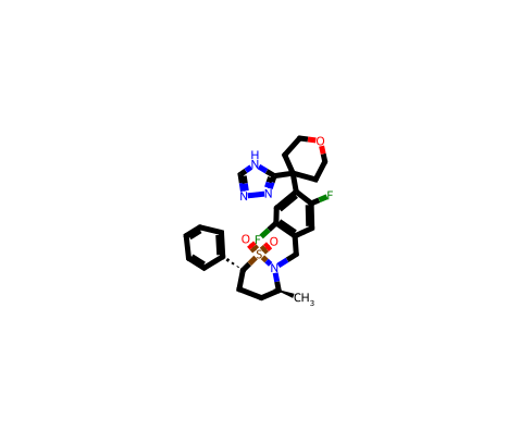 C[C@H]1CC[C@H](c2ccccc2)S(=O)(=O)N1Cc1cc(F)c(C2(c3nnc[nH]3)CCOCC2)cc1F